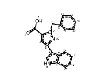 O=C(O)c1cc(-c2c[nH]c3ccccc23)nn1Cc1ccccc1